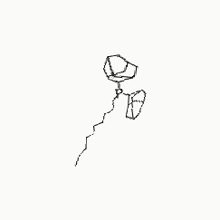 CCCCCCCCCCP(C1C2CC3CC(C2)CC1C3)C1C2CC3CC(C2)CC1C3